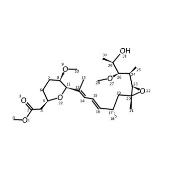 COC(=O)C[C@H]1CC[C@@H](OC)[C@@H](/C(C)=C/C=C/[C@@H](C)C[C@@]2(C)O[C@@H]2[C@H](C)[C@@H](OC)[C@@H](C)O)O1